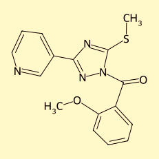 COc1ccccc1C(=O)n1nc(-c2cccnc2)nc1SC